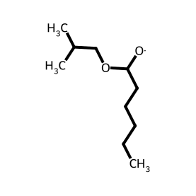 CCCCCC([O])OCC(C)C